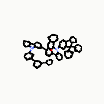 c1ccc(-c2cccc(-c3cccc(-n4c5ccccc5c5ccc(-c6ccc(-c7ccccc7N(c7ccc8c(c7)C(c7ccccc7)(c7ccccc7)c7ccccc7-8)c7cccc8ccccc78)cc6)cc54)c3)c2)cc1